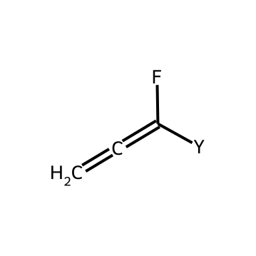 C=C=[C](F)[Y]